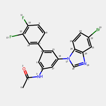 CC(=O)Nc1cc(-c2ccc(F)c(F)c2)cc(-n2cnc3cc(Br)ccc32)c1